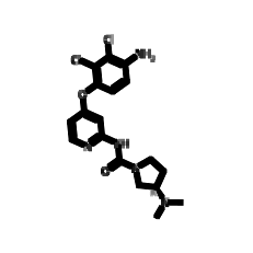 CN(C)[C@@H]1CCN(C(=O)Nc2cc(Oc3ccc(N)c(Cl)c3Cl)ccn2)C1